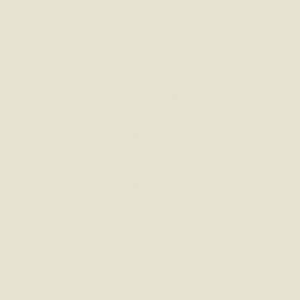 O=CC1=C(CCC(=O)O)CC(=O)C1OCc1ccc(Cl)cc1